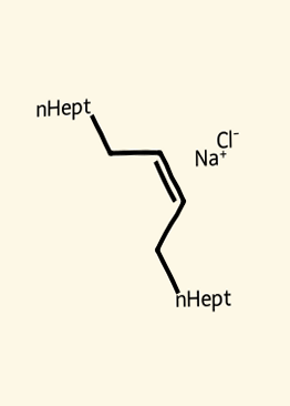 CCCCCCCC/C=C\CCCCCCCC.[Cl-].[Na+]